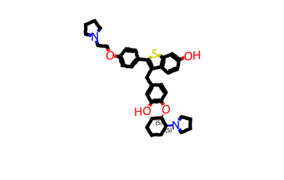 Oc1ccc2c(Cc3ccc(O[C@H]4CCCC[C@@H]4N4CCCC4)c(O)c3)c(-c3ccc(OCCN4CCCC4)cc3)sc2c1